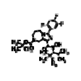 CC(C)C(N(O)C(=O)c1nc(-c2cc(F)c(F)cc2F)n2c1CN(C(=O)OC(C)(C)C)CCC2)C(C)(C)C